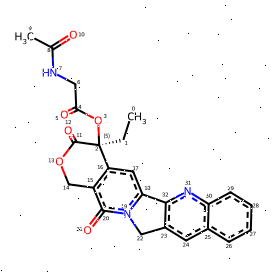 CC[C@@]1(OC(=O)CNC(C)=O)C(=O)OCc2c1cc1n(c2=O)Cc2cc3ccccc3nc2-1